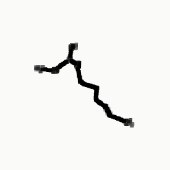 CCCCCCOP(O)OC